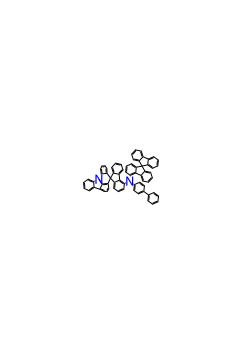 c1ccc(-c2ccc(N(c3cccc4c3-c3ccccc3C43c4ccccc4-c4ccccc43)c3cccc4c3-c3ccccc3C43c4ccccc4-n4c5ccccc5c5cccc3c54)cc2)cc1